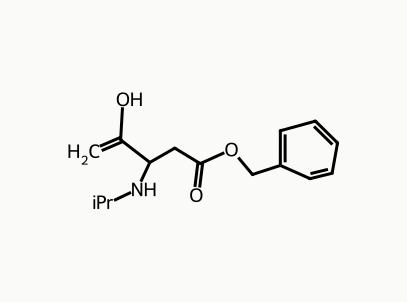 C=C(O)C(CC(=O)OCc1ccccc1)NC(C)C